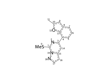 CSc1nc(-c2cccc3cc(C)oc23)cc2ccnn12